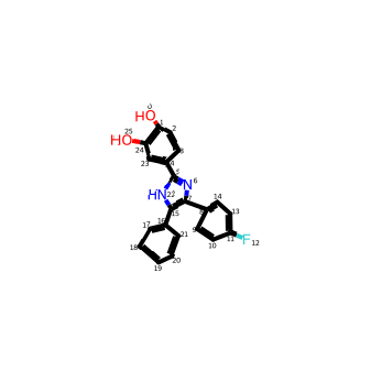 Oc1ccc(-c2nc(-c3ccc(F)cc3)c(-c3ccccc3)[nH]2)cc1O